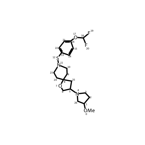 COC1CCN(C2COC3(CCN(Sc4ccc(OC(F)F)cc4)CC3)C2)C1